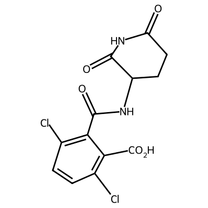 O=C1CCC(NC(=O)c2c(Cl)ccc(Cl)c2C(=O)O)C(=O)N1